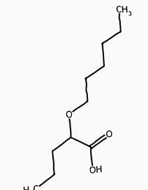 CCCCCCOC(CCC)C(=O)O